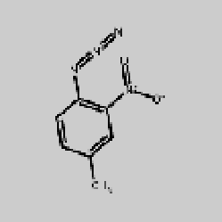 Cc1ccc(N=[N+]=[N-])c([N+](=O)[O-])c1